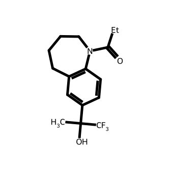 CCC(=O)N1CCCCc2cc(C(C)(O)C(F)(F)F)ccc21